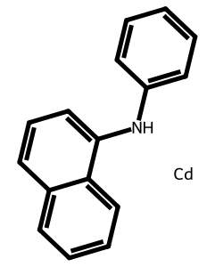 [Cd].c1ccc(Nc2cccc3ccccc23)cc1